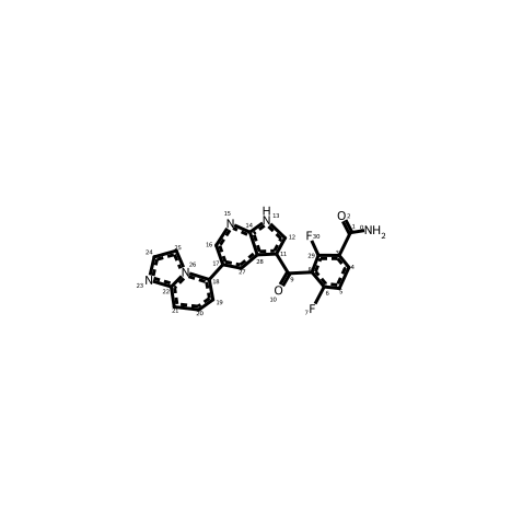 NC(=O)c1ccc(F)c(C(=O)c2c[nH]c3ncc(-c4cccc5nccn45)cc23)c1F